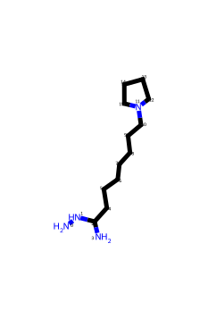 NNC(N)CCCCCCCN1CCCC1